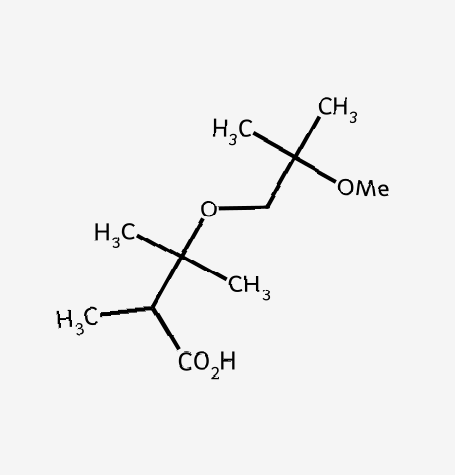 COC(C)(C)COC(C)(C)C(C)C(=O)O